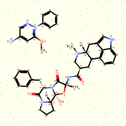 CN1C[C@H](C(=O)N[C@]2(C)O[C@@]3(O)[C@@H]4CCCN4C(=O)[C@H](Cc4ccccc4)N3C2=O)CC2c3cccc4[nH]cc(c34)C[C@H]21.COc1cc(N)cn[n+]1-c1ccccc1